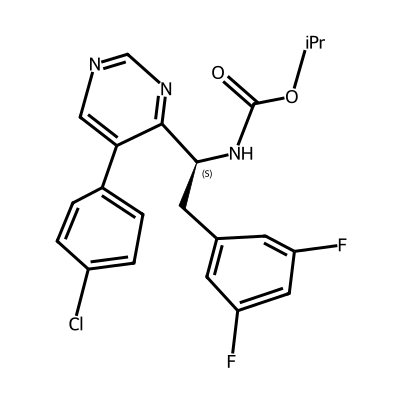 CC(C)OC(=O)N[C@@H](Cc1cc(F)cc(F)c1)c1ncncc1-c1ccc(Cl)cc1